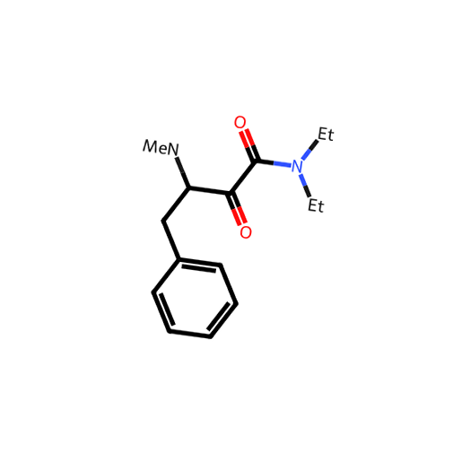 CCN(CC)C(=O)C(=O)C(Cc1ccccc1)NC